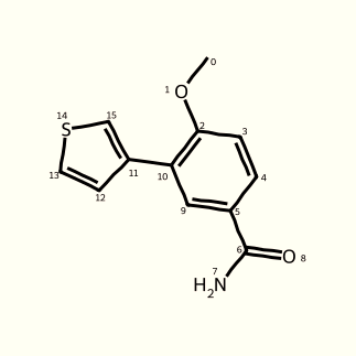 COc1ccc(C(N)=O)cc1-c1ccsc1